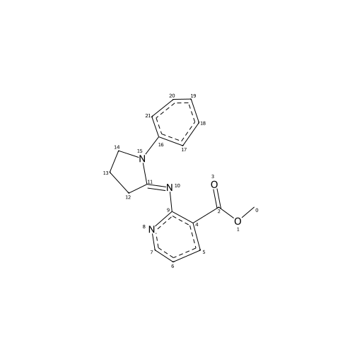 COC(=O)c1cccnc1/N=C1\CCCN1c1ccccc1